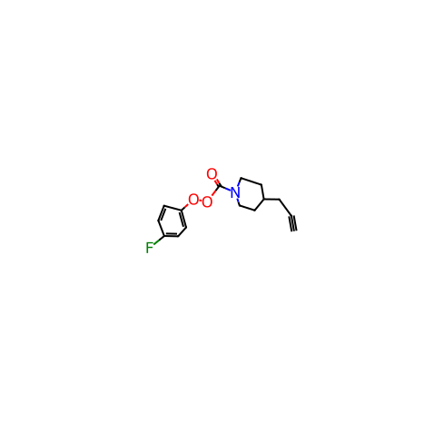 C#CCC1CCN(C(=O)OOc2ccc(F)cc2)CC1